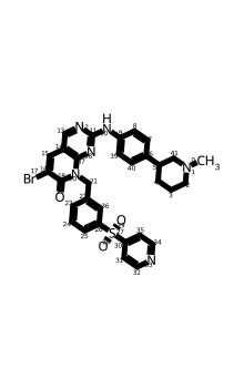 CN1CCCC(c2ccc(Nc3ncc4cc(Br)c(=O)n(Cc5cccc(S(=O)(=O)c6ccncc6)c5)c4n3)cc2)C1